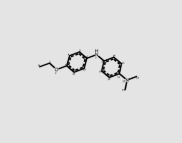 CCOc1ccc(Nc2ccc(N(C)C)cc2)cc1